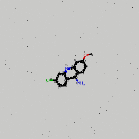 COc1ccc2c(N)c3ccc(Cl)cc3nc2c1